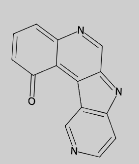 O=C1C=CC=c2ncc3c(c21)-c1cnccc1N=3